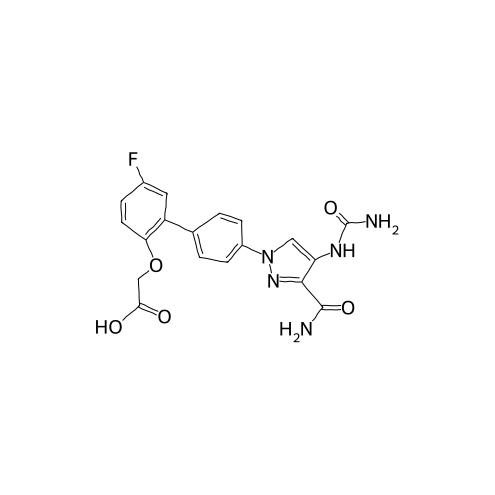 NC(=O)Nc1cn(-c2ccc(-c3cc(F)ccc3OCC(=O)O)cc2)nc1C(N)=O